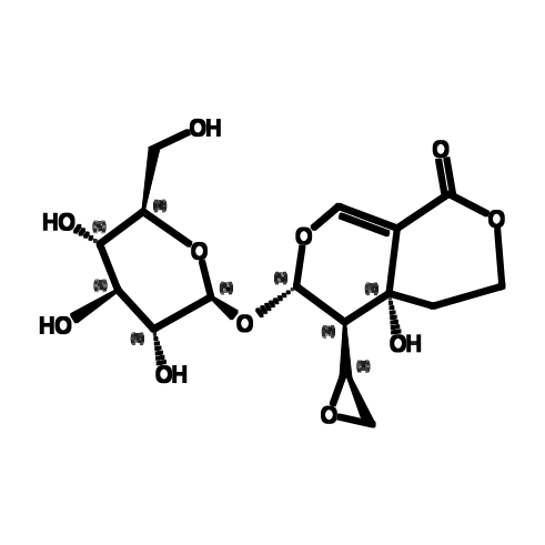 O=C1OCC[C@]2(O)C1=CO[C@@H](O[C@@H]1O[C@H](CO)[C@@H](O)[C@H](O)[C@H]1O)[C@@H]2[C@H]1CO1